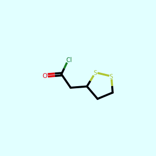 O=C(Cl)CC1CCSS1